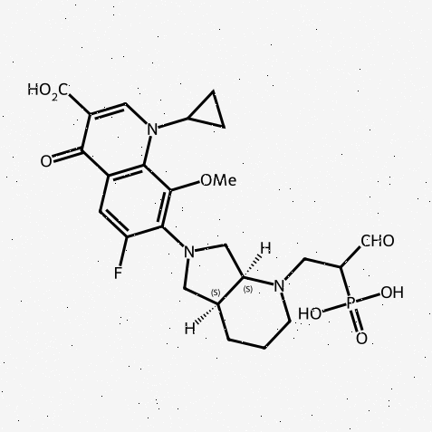 COc1c(N2C[C@@H]3CCCN(CC(C=O)P(=O)(O)O)[C@@H]3C2)c(F)cc2c(=O)c(C(=O)O)cn(C3CC3)c12